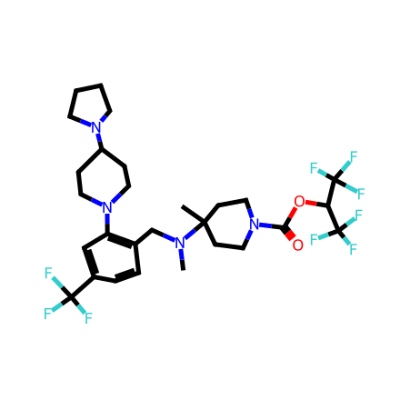 CN(Cc1ccc(C(F)(F)F)cc1N1CCC(N2CCCC2)CC1)C1(C)CCN(C(=O)OC(C(F)(F)F)C(F)(F)F)CC1